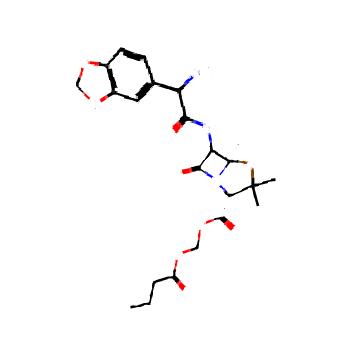 CCCC(=O)OCOC(=O)[C@@H]1N2C(=O)C(NC(=O)C(N)c3ccc4c(c3)OCO4)[C@H]2SC1(C)C